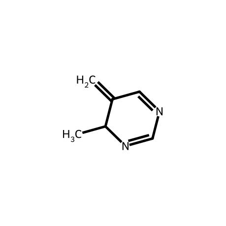 C=C1C=NC=NC1C